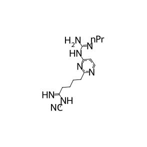 CCCN=C(N)Nc1ccnc(CCCCC(=N)NC#N)n1